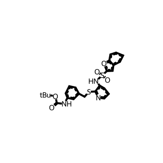 CC(C)(C)OC(=O)Nc1cccc(CSc2ncccc2NS(=O)(=O)c2cc3ccccc3o2)c1